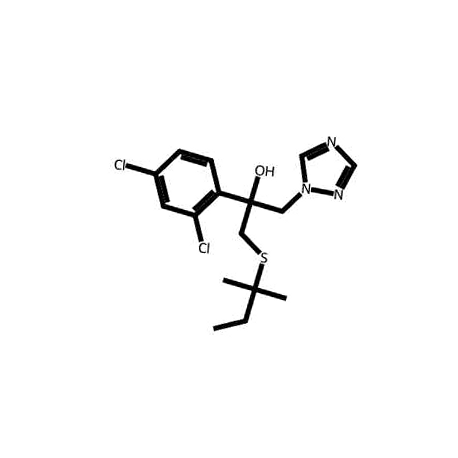 CCC(C)(C)SCC(O)(Cn1cncn1)c1ccc(Cl)cc1Cl